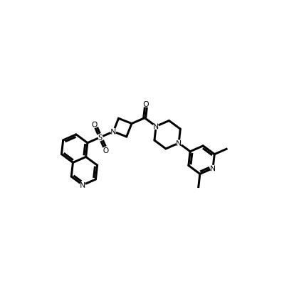 Cc1cc(N2CCN(C(=O)C3CN(S(=O)(=O)c4cccc5cnccc45)C3)CC2)cc(C)n1